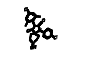 Cc1cc(Cl)cc(C)c1C1C(=O)N(c2ccc(Cl)cc2)C2(CCN(O)CC2)C1=O